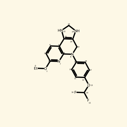 CCOc1ccc2c(n1)N(c1ccc(OC(F)F)cc1)CC1=C2NCN1